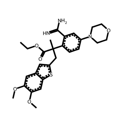 CCOC(=O)C(C)(Cc1cc2cc(OC)c(OC)cc2s1)c1ccc(N2CCOCC2)cc1C(=N)N